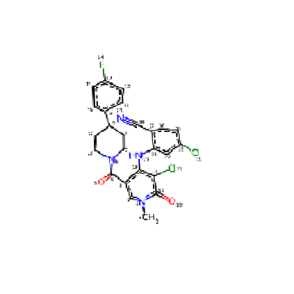 Cn1cc(C(=O)N2CCC(c3ccc(F)cc3)CC2)c(Nc2cc(Cl)ccc2C#N)c(Cl)c1=O